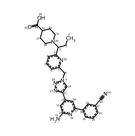 CCC(c1cccc(Cn2cc(-c3cc(N)nc(-c4cccc(C#N)c4)c3)nn2)n1)N1CCC(C(=O)O)CC1